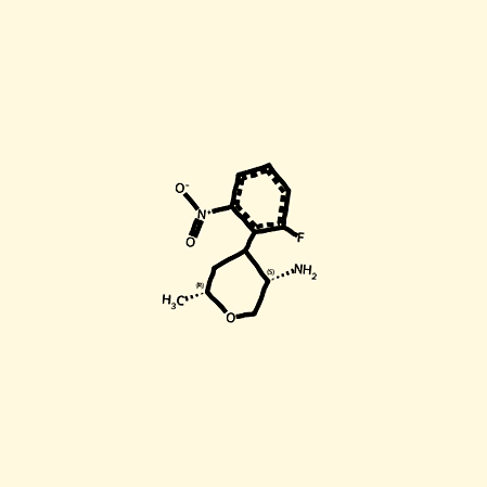 C[C@@H]1CC(c2c(F)cccc2[N+](=O)[O-])[C@H](N)CO1